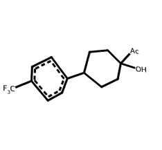 CC(=O)C1(O)CCC(c2ccc(C(F)(F)F)cc2)CC1